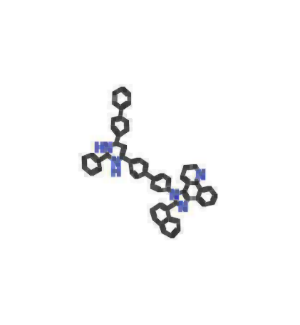 C1=C(c2ccc(-c3ccc(-n4c(-c5cccc6ccccc56)nc5c6ccccc6c6ncccc6c54)cc3)cc2)NC(c2ccccc2)NC1c1ccc(-c2ccccc2)cc1